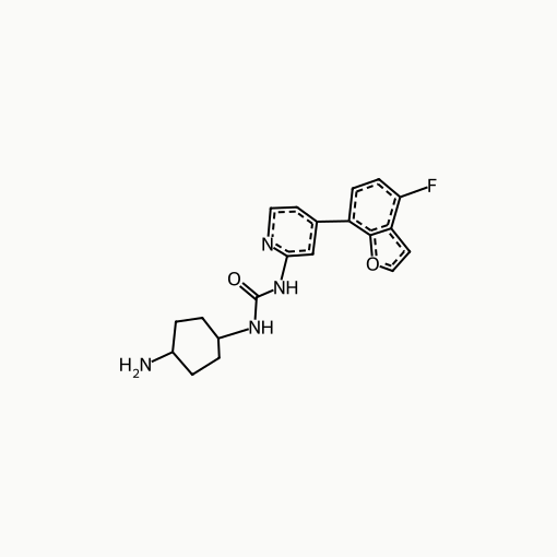 NC1CCC(NC(=O)Nc2cc(-c3ccc(F)c4ccoc34)ccn2)CC1